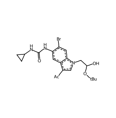 CC(=O)c1cn(CC(O)OC(C)(C)C)c2cc(Br)c(NC(=O)NC3CC3)cc12